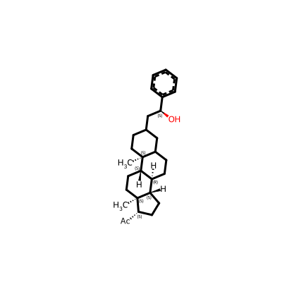 CC(=O)[C@H]1CC[C@H]2[C@@H]3CCC4CC(C[C@H](O)c5ccccc5)CC[C@]4(C)[C@H]3CC[C@]12C